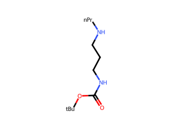 CCCNCCCNC(=O)OC(C)(C)C